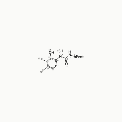 CCCCCNC(=O)N(S)c1ccc(F)c(F)c1O